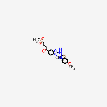 Cn1c(Nc2nc3ccc(OC(F)(F)F)cc3s2)nc2cc(C(=O)CCCS(C)(=O)=O)ccc21